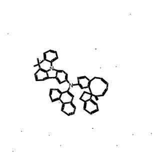 C=C1/C=C\C=C/Cc2ccc(N(c3ccc4c(c3)c3cccc5c3n4-c3ccccc3C5(C)C)c3cc4ccccc4c4ccccc34)cc2C12CCc1ccccc12